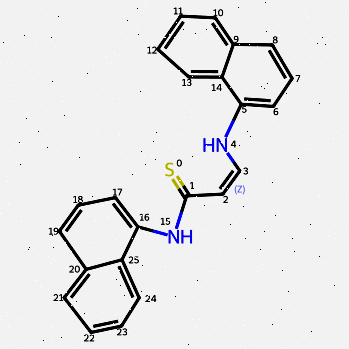 S=C(/C=C\Nc1cccc2ccccc12)Nc1cccc2ccccc12